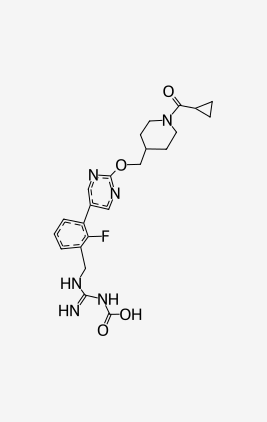 N=C(NCc1cccc(-c2cnc(OCC3CCN(C(=O)C4CC4)CC3)nc2)c1F)NC(=O)O